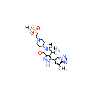 Cc1cc(-c2[nH]nc(C(=O)NC3CCN(CCS(C)(=O)=O)CC3)c2C(C)C)cn2ncnc12